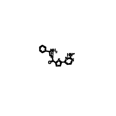 CNc1nccc(-c2ccc(C(=O)NCC(N)c3ccccc3)s2)n1